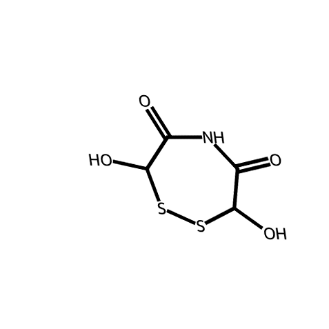 O=C1NC(=O)C(O)SSC1O